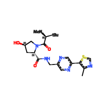 CN[C@H](C(=O)N1C[C@H](O)C[C@H]1C(=O)NCc1cnc(-c2scnc2C)cn1)C(C)(C)C